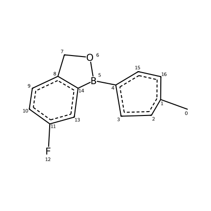 Cc1ccc(B2OCc3ccc(F)cc32)cc1